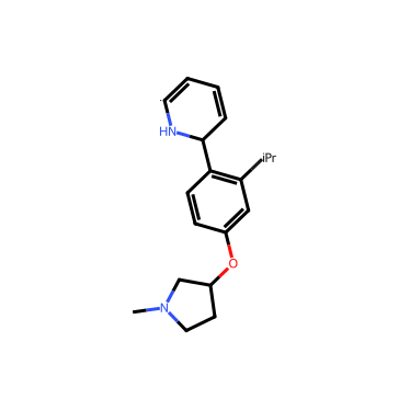 CC(C)c1cc(OC2CCN(C)C2)ccc1C1C=CC=[C]N1